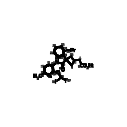 CCOC(=O)CC1CC(C(=O)Nc2ccc(C)nc2OC(F)F)(c2ccccc2C(C)C)C1